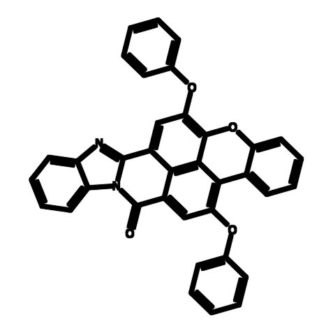 O=c1c2cc(Oc3ccccc3)c3c4ccccc4oc4c(Oc5ccccc5)cc(c2c43)c2nc3ccccc3n12